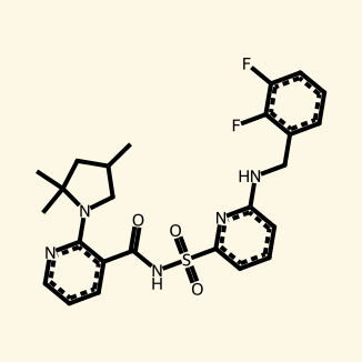 CC1CN(c2ncccc2C(=O)NS(=O)(=O)c2cccc(NCc3cccc(F)c3F)n2)C(C)(C)C1